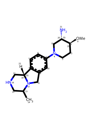 CO[C@H]1CCN(c2ccc3c(c2)CN2C(C)CNC[C@H]32)C[C@@H]1N